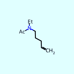 C=CCCCN(CC)C(C)=O